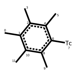 Cc1c(C)c(C)[c]([Tc])c(C)c1C